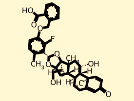 Cc1ccc(OCc2ccccc2C(=O)O)c(F)c1[C@H]1O[C@@H]2C[C@H]3[C@@H]4CCC5=CC(=O)C=C[C@]5(C)[C@H]4[C@@H](O)C[C@]3(C)[C@]2(C(=O)CO)O1